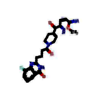 COC(=N)/C=C\C(=N)C(=O)C1CCN(C(=O)CCCc2nc3c(F)cccc3c(=O)[nH]2)CC1